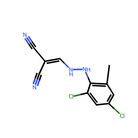 Cc1cc(Cl)cc(Cl)c1NNC=C(C#N)C#N